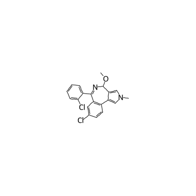 COC1N=C(c2ccccc2Cl)c2cc(Cl)ccc2-c2cn(C)cc21